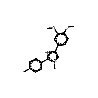 COc1ccc(-c2c[n+](C)c(-c3ccc(C)cc3)[nH]2)cc1OC